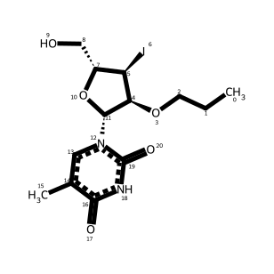 CCCO[C@@H]1[C@H](I)[C@@H](CO)O[C@H]1n1cc(C)c(=O)[nH]c1=O